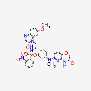 COc1ccc2ncc(=O)n(CC(NS(=O)(=O)c3ccccc3[N+](=O)[O-])[C@H]3CC[C@H](N(C)c4ccc5c(n4)NC(=O)CO5)CC3)c2c1